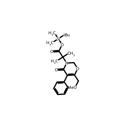 COCC1=C(c2ccccc2)C(=O)N(C(C)(C)C(=O)O[Si](C)(C)C(C)(C)C)CO1